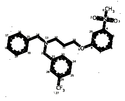 CS(=O)(=O)c1cccc(OCCCN(Cc2ccccc2)Cc2cccc(C(F)(F)F)c2)c1